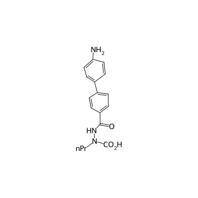 CCCN(NC(=O)c1ccc(-c2ccc(N)cc2)cc1)C(=O)O